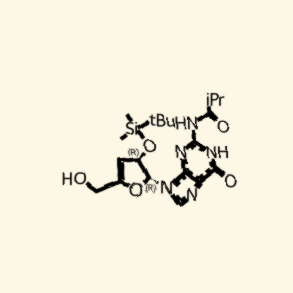 CC(C)C(=O)Nc1nc2c(ncn2[C@@H]2OC(CO)=C[C@H]2O[Si](C)(C)C(C)(C)C)c(=O)[nH]1